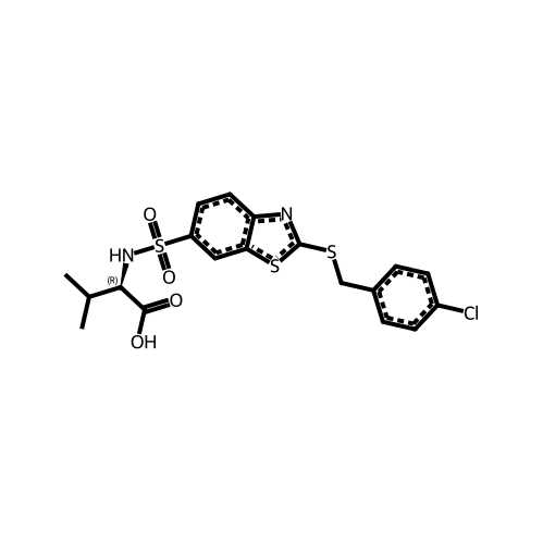 CC(C)[C@@H](NS(=O)(=O)c1ccc2nc(SCc3ccc(Cl)cc3)sc2c1)C(=O)O